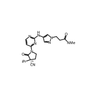 CNC(=O)CCn1cc(Nc2nccc(N3CC[C@@](C#N)(C(C)C)C3=O)n2)cn1